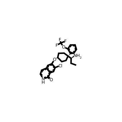 CC[C@H](N)[C@]1(c2ccccc2OC(F)(F)F)CC[C@@H](Oc2cc3cc[nH]c(=O)c3cc2Cl)CC1